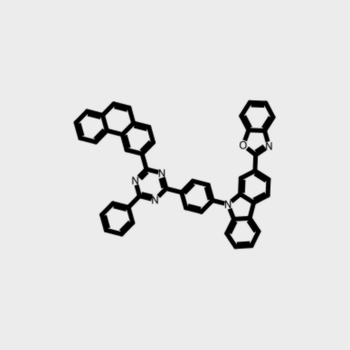 c1ccc(-c2nc(-c3ccc(-n4c5ccccc5c5ccc(-c6nc7ccccc7o6)cc54)cc3)nc(-c3ccc4ccc5ccccc5c4c3)n2)cc1